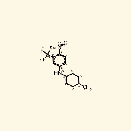 CC1CCC(Nc2ccc(N=O)c(C(F)(F)F)c2)CC1